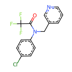 O=C(N(Cc1cccnc1)c1ccc(Cl)cc1)C(F)(F)F